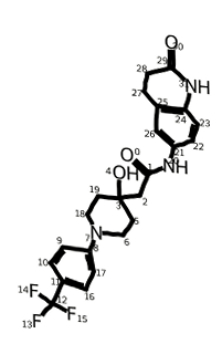 O=C(CC1(O)CCN(c2ccc(C(F)(F)F)cc2)CC1)Nc1ccc2c(c1)CCC(=O)N2